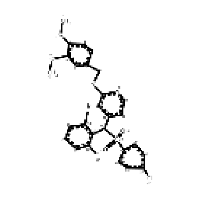 COc1ccc(CNc2cc(C(c3c(F)cccc3F)S(=O)(=O)c3ccc(Cl)cc3)ccn2)cc1OC